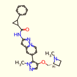 CN1CC[C@@H]1COc1cnn(C)c1-c1ccn2nc(NC(=O)C3CC3c3ccccc3)cc2c1